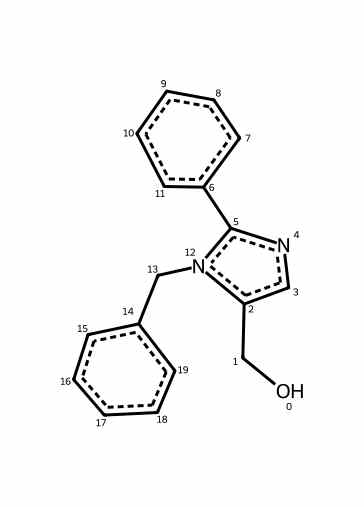 OCc1cnc(-c2ccccc2)n1Cc1ccccc1